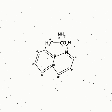 CC(=O)O.N.c1ccc2ncccc2c1